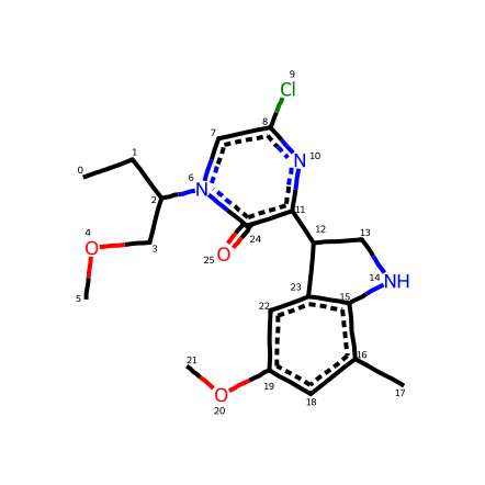 CCC(COC)n1cc(Cl)nc(C2CNc3c(C)cc(OC)cc32)c1=O